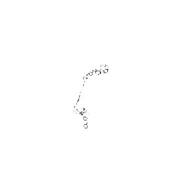 NC(=O)c1c(F)cccc1Nc1nc(Nc2ccc(S(=O)(=O)NCCOCCOCCOCCOC/C=C/C(=O)N3CCC[C@@H](n4nc(-c5ccc(Oc6ccccc6)cc5)c5c(N)ncnc54)C3)cc2)ncc1Br